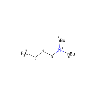 CCCCN(CCCC)CCCC(F)(F)F